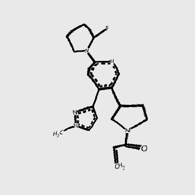 C=CC(=O)N1CCC(c2cnc(N3CCCC3F)cc2-c2ccn(C)n2)C1